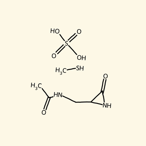 CC(=O)NCC1NC1=O.CS.O=S(=O)(O)O